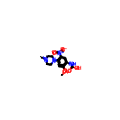 COc1cc(N2CCN(C)CC2)c([N+](=O)[O-])cc1NC(=O)O